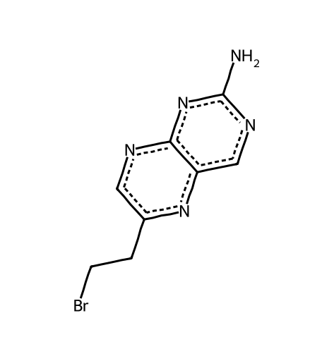 Nc1ncc2nc(CCBr)cnc2n1